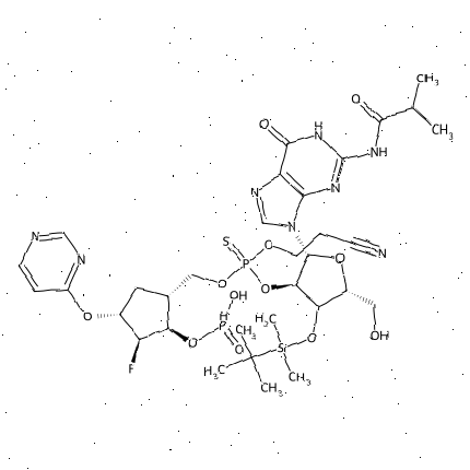 CC(C)C(=O)Nc1nc2c(ncn2[C@@H]2O[C@H](CO)C(O[Si](C)(C)C(C)(C)C)[C@H]2OP(=S)(OCCC#N)OC[C@H]2C[C@@H](Oc3ccncn3)[C@H](F)[C@@H]2O[PH](=O)O)c(=O)[nH]1